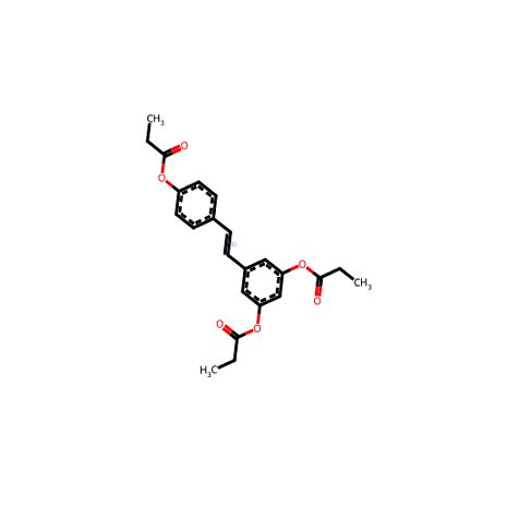 CCC(=O)Oc1ccc(/C=C/c2cc(OC(=O)CC)cc(OC(=O)CC)c2)cc1